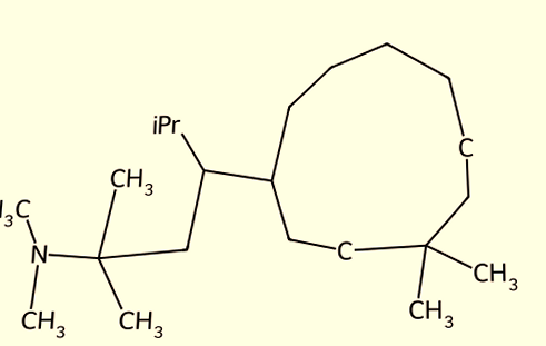 CC(C)C(CC(C)(C)N(C)C)C1CCCCCCC(C)(C)CC1